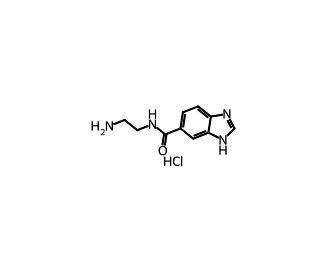 Cl.NCCNC(=O)c1ccc2nc[nH]c2c1